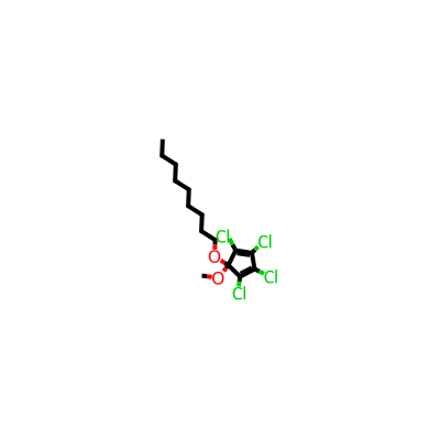 CCCCCCCCCOC1(OC)C(Cl)=C(Cl)C(Cl)=C1Cl